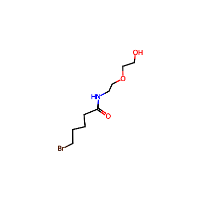 O=C(CCCCBr)NCCOCCO